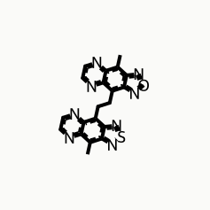 Cc1c2nccnc2c(CCc2c3nccnc3c(C)c3nsnc23)c2nonc12